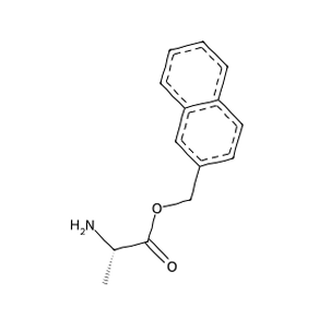 C[C@H](N)C(=O)OCc1ccc2ccccc2c1